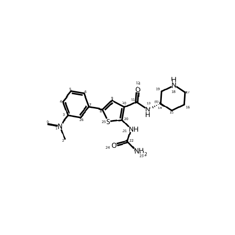 CN(C)c1cccc(-c2cc(C(=O)N[C@H]3CCCNC3)c(NC(N)=O)s2)c1